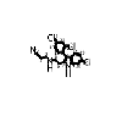 N#CCCNCCc1[nH]c2cc(Cl)ccc2c1-c1ccc(Cl)cc1Cl